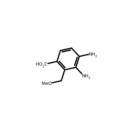 COCc1c(C(=O)O)ccc(N)c1N